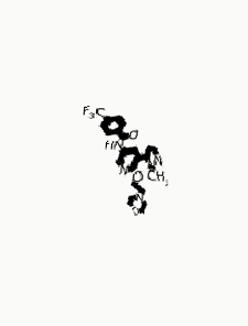 Cn1nccc1-c1cc(NC(=O)c2ccc(C(F)(F)F)cc2)cnc1OCCN1CCOCC1